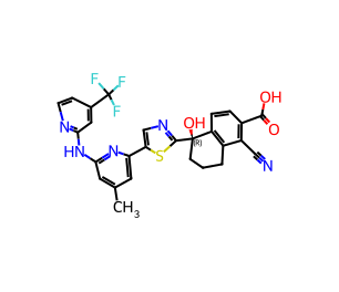 Cc1cc(Nc2cc(C(F)(F)F)ccn2)nc(-c2cnc([C@@]3(O)CCCc4c3ccc(C(=O)O)c4C#N)s2)c1